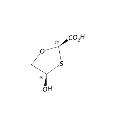 O=C(O)[C@@H]1OC[C@H](O)S1